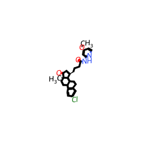 COc1ccnc(NC(=O)CCC[C@@H]2CC(=O)[C@@]3(C)CCC4c5ccc(Cl)cc5CCC4C23)c1